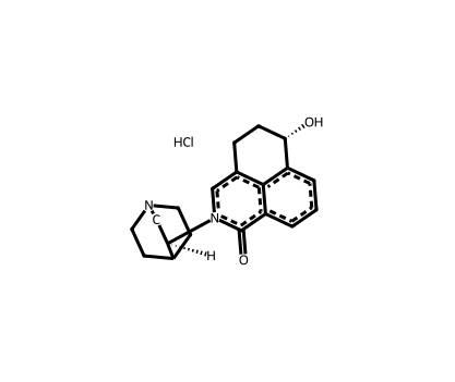 Cl.O=c1c2cccc3c2c(cn1[C@@H]1CN2CCC1CC2)CC[C@@H]3O